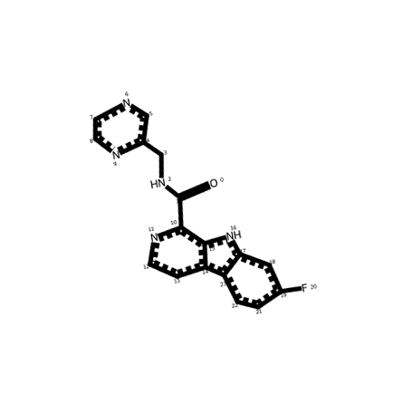 O=C(NCc1cnccn1)c1nccc2c1[nH]c1cc(F)ccc12